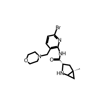 C[C@]12CC1N[C@H](C(=O)Nc1nc(Br)ccc1CN1CCOCC1)C2